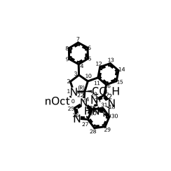 CCCCCCCCN1CC(c2ccccc2)C(c2ccccc2-c2nn[nH]n2)[C@]1(C(=O)O)n1cnc2ccccc21